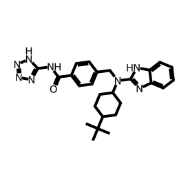 CC(C)(C)C1CCC(N(Cc2ccc(C(=O)Nc3nnn[nH]3)cc2)c2nc3ccccc3[nH]2)CC1